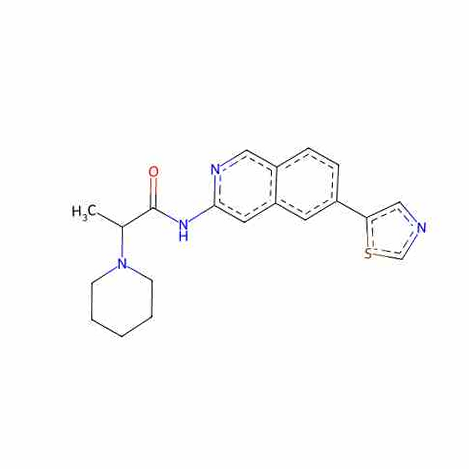 CC(C(=O)Nc1cc2cc(-c3cncs3)ccc2cn1)N1CCCCC1